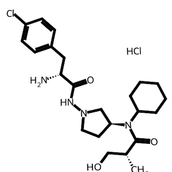 C[C@H](CO)C(=O)N(C1CCCCC1)[C@H]1CCN(NC(=O)[C@H](N)Cc2ccc(Cl)cc2)C1.Cl